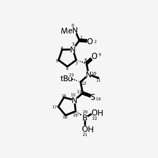 CNC(=O)N1CCC[C@H]1C(=O)N(C)[C@H](C(=S)N1CCC[C@H]1B(O)O)C(C)(C)C